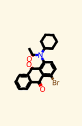 CC(=O)N(c1ccc(Br)c2c1C(=O)c1ccccc1C2=O)C1CCCCC1